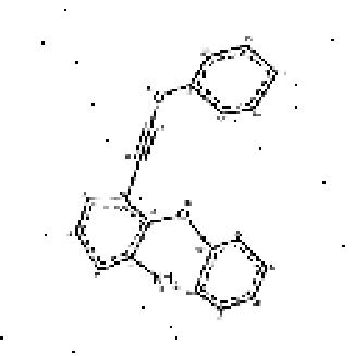 Nc1cccc(C#COc2ccccc2)c1Oc1ccccc1